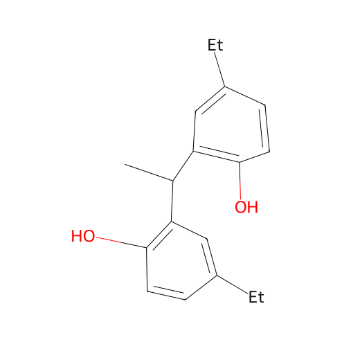 CCc1ccc(O)c(C(C)c2cc(CC)ccc2O)c1